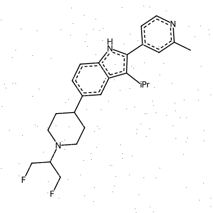 Cc1cc(-c2[nH]c3ccc(C4CCN(C(CF)CF)CC4)cc3c2C(C)C)ccn1